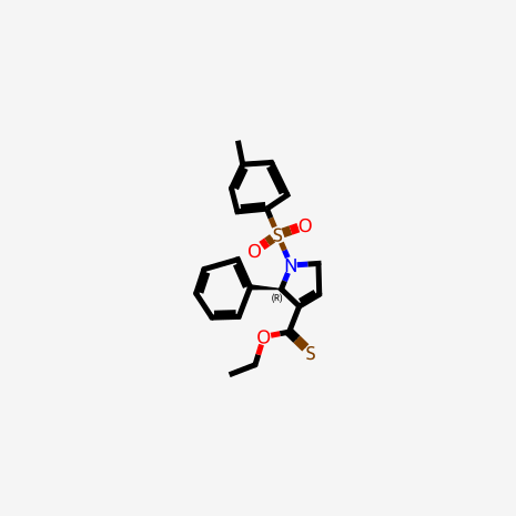 CCOC(=S)C1=CCN(S(=O)(=O)c2ccc(C)cc2)[C@@H]1c1ccccc1